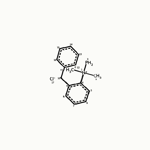 C[N+](C)(P)c1ccccc1Cc1ccccc1.[Cl-]